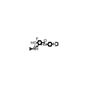 O=C(Nc1ccc(N2CCCC2)cc1)c1cc(F)c(O)c(/C=N/NC2CC2)c1